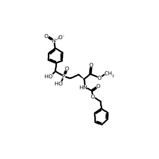 COC(=O)[C@H](CCP(=O)(O)C(O)c1ccc([N+](=O)[O-])cc1)NC(=O)OCc1ccccc1